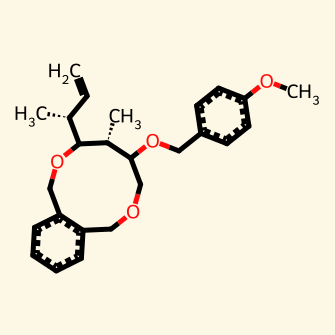 C=C[C@@H](C)C1OCc2ccccc2COCC(OCc2ccc(OC)cc2)[C@H]1C